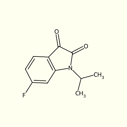 CC(C)N1C(=O)C(=O)c2ccc(F)cc21